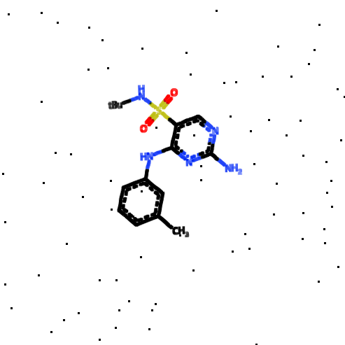 Cc1cccc(Nc2nc(N)ncc2S(=O)(=O)NC(C)(C)C)c1